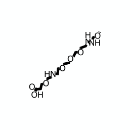 COCNNCCOCCOCCOCCNCCOCCC(=O)O